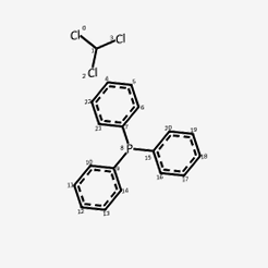 ClC(Cl)Cl.c1ccc(P(c2ccccc2)c2ccccc2)cc1